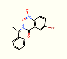 C[C@@H](NC(=O)c1cc(Br)ccc1[N+](=O)[O-])c1ccccc1